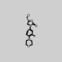 O=C1O[C@H](CCl)CN1c1ccc(N2CCOCC2)c(F)c1